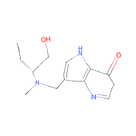 CC[C@H](CO)N(C)Cc1c[nH]c2c1N=CCC2=O